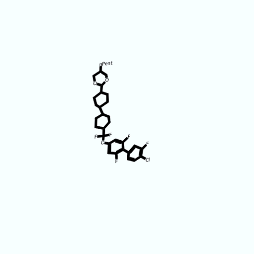 CCCCCC1COC(C2CCC(C3CCC(C(F)(F)Oc4cc(F)c(-c5ccc(Cl)c(F)c5)c(F)c4)CC3)CC2)OC1